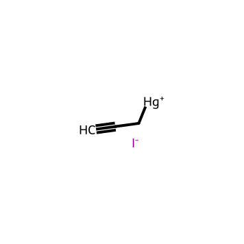 C#C[CH2][Hg+].[I-]